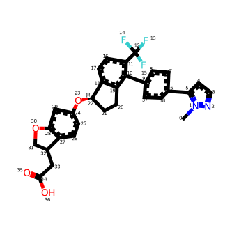 Cn1nccc1-c1ccc(-c2c(C(F)(F)F)ccc3c2CC[C@H]3Oc2ccc3c(c2)OCC3CC(=O)O)cc1